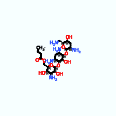 [CH2]CCC(=O)OC[C@H]1O[C@@H](O[C@@H]2[C@H](O)[C@H](O[C@H]3O[C@H](CN)[C@@H](O)C[C@H]3N)[C@@H](N)C[C@H]2N)[C@H](O)[C@@H](N)[C@@H]1O